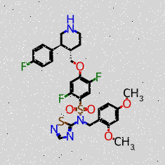 COc1ccc(CN(c2ncns2)S(=O)(=O)c2cc(F)c(OC[C@H]3CCNC[C@@H]3c3ccc(F)cc3)cc2F)c(OC)c1